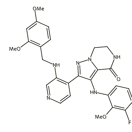 COc1ccc(CNc2cnccc2-c2nn3c(c2Nc2cccc(F)c2OC)C(=O)NCC3)c(OC)c1